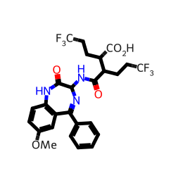 COc1ccc2c(c1)C(c1ccccc1)=NC(NC(=O)C(CCC(F)(F)F)C(CCC(F)(F)F)C(=O)O)C(=O)N2